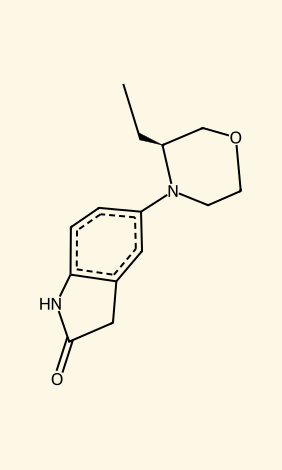 CC[C@H]1COCCN1c1ccc2c(c1)CC(=O)N2